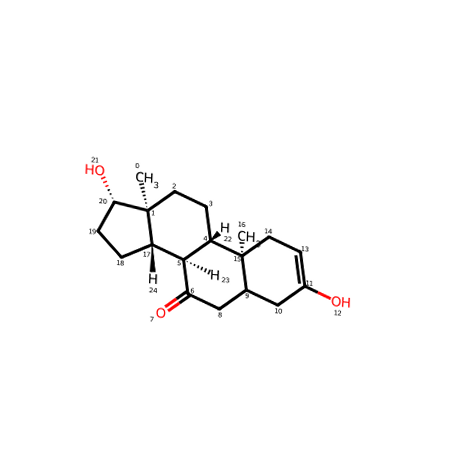 C[C@]12CC[C@H]3[C@@H](C(=O)CC4CC(O)=CC[C@@]43C)[C@@H]1CC[C@@H]2O